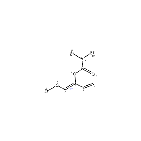 C=C/C(=C/OCC)OC(=O)N(CC)CC